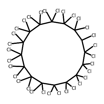 Cl[C]1C(Cl)(Cl)C(Cl)(Cl)C(Cl)(Cl)C(Cl)(Cl)C(Cl)(Cl)C(Cl)(Cl)C(Cl)(Cl)C(Cl)(Cl)C(Cl)(Cl)C(Cl)(Cl)C(Cl)(Cl)C(Cl)(Cl)C(Cl)(Cl)C(Cl)(Cl)C1(Cl)Cl